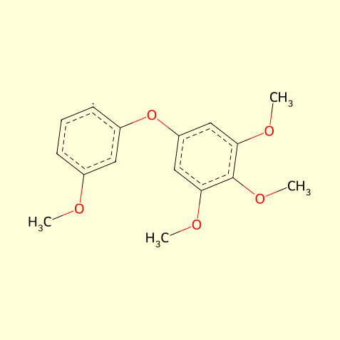 COc1cc[c]c(Oc2cc(OC)c(OC)c(OC)c2)c1